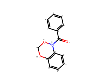 O=C(c1ccccc1)N1OCOc2ccc[c]c21